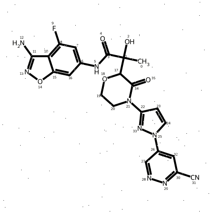 CC(O)(C(=O)Nc1cc(F)c2c(N)noc2c1)C1OCCN(c2ccn(-c3cnnc(C#N)c3)n2)C1=O